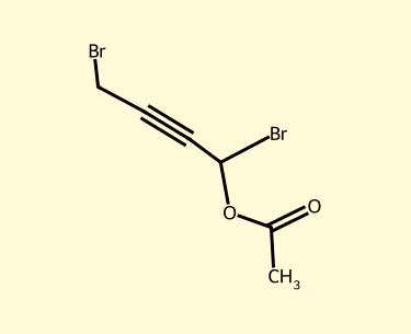 CC(=O)OC(Br)C#CCBr